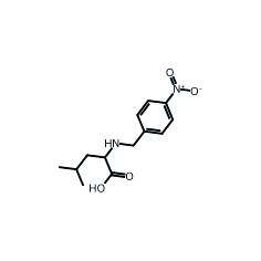 CC(C)CC(NCc1ccc([N+](=O)[O-])cc1)C(=O)O